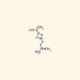 CC(O)C1CN(CCN(C)C)C1